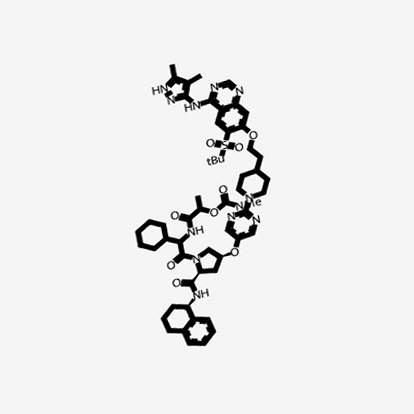 CNC(=O)OC(C)C(=O)NC(C(=O)N1C[C@@H](Oc2cnc(N3CCC(CCOc4cc5ncnc(Nc6n[nH]c(C)c6C)c5cc4S(=O)(=O)C(C)(C)C)CC3)nc2)C[C@H]1C(=O)N[C@@H]1CCCc2ccccc21)C1CCCCC1